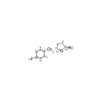 CC(=O)[C@@H]1CC[C@@H](COc2ccc(F)cc2)O1